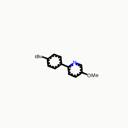 COc1ccc(-c2ccc(C(C)(C)C)cc2)nc1